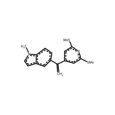 C=C(c1cc(SC)nc(SC)c1)c1ccc2c(ccn2C)c1